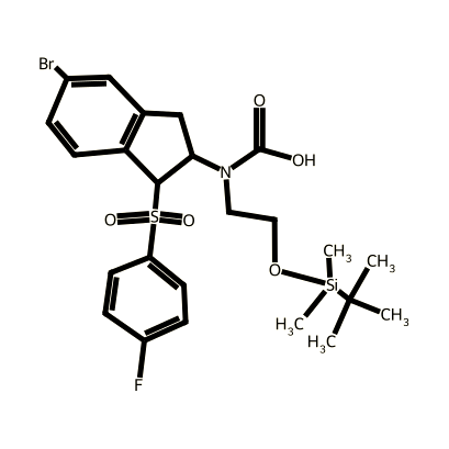 CC(C)(C)[Si](C)(C)OCCN(C(=O)O)C1Cc2cc(Br)ccc2C1S(=O)(=O)c1ccc(F)cc1